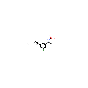 CCOC(=O)CC(NC(=O)OC(C)(C)C)c1cc(Cl)cc(C(C)(C)COC)c1